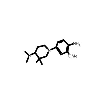 COc1cc(N2CCC(N(C)C)C(C)(C)C2)ccc1N